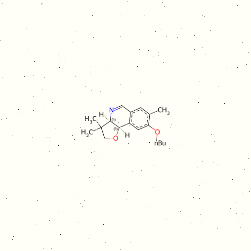 CCCCOc1cc2c(cc1C)C=N[C@H]1[C@@H]2OCC1(C)C